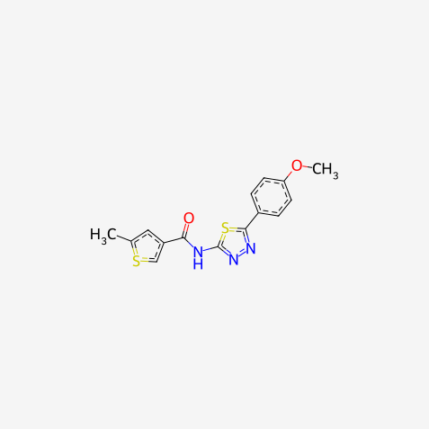 COc1ccc(-c2nnc(NC(=O)c3csc(C)c3)s2)cc1